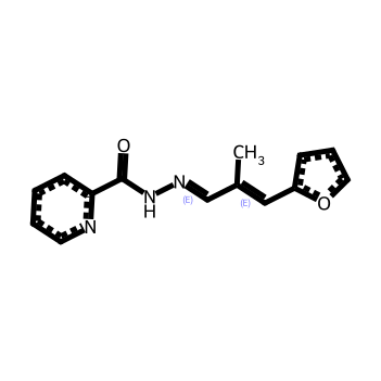 CC(/C=N/NC(=O)c1ccccn1)=C\c1ccco1